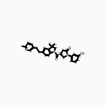 Cc1ccc(CCc2ccc3c(c2)C(C)(C)CN3C(=O)[C@H]2CC(=O)N(c3cccc(C#N)c3)C2)cn1